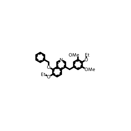 CCOc1ccc2c(Cc3cc(OC)c(OCC)c(OC)c3)cncc2c1OCc1ccccc1